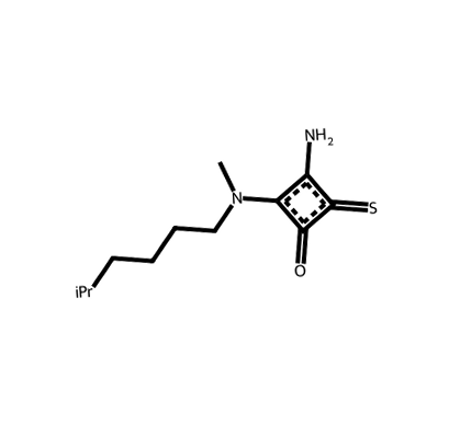 CC(C)CCCCN(C)c1c(N)c(=S)c1=O